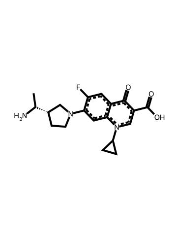 CC(N)[C@H]1CCN(c2cc3c(cc2F)c(=O)c(C(=O)O)cn3C2CC2)C1